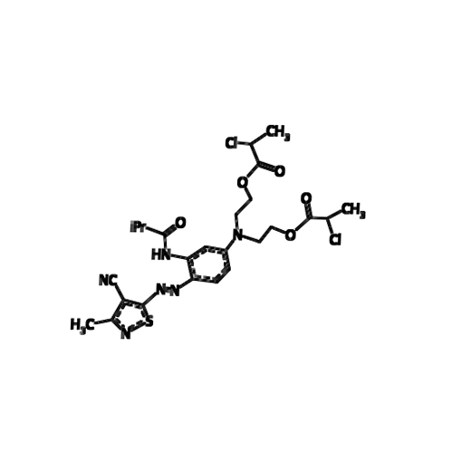 Cc1nsc(N=Nc2ccc(N(CCOC(=O)C(C)Cl)CCOC(=O)C(C)Cl)cc2NC(=O)C(C)C)c1C#N